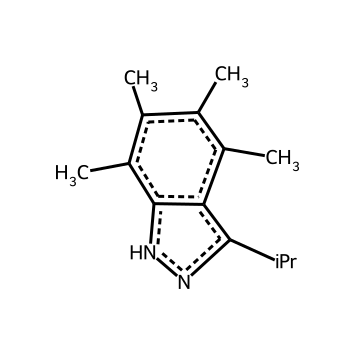 Cc1c(C)c(C)c2c(C(C)C)n[nH]c2c1C